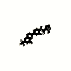 Cc1cc(-c2ccc3cc(C(F)(F)F)cc(C)c3n2)ccc1N(C)C(=O)c1ccnn1C